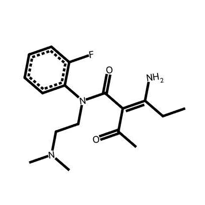 CCC(N)=C(C(C)=O)C(=O)N(CCN(C)C)c1ccccc1F